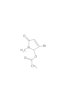 CC(=O)OC1C(Br)=CC(=O)N1C